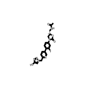 CC(=O)NC[C@H]1CN(c2ccc(-c3ccc(Cn4cc(S)nn4)nc3)c(F)c2)C(=O)O1